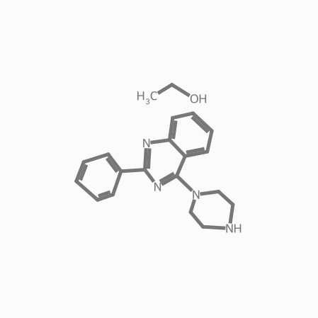 CCO.c1ccc(-c2nc(N3CCNCC3)c3ccccc3n2)cc1